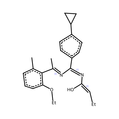 CC/C=C(O)/N=C(\N=C(/C)c1c(C)cccc1OCC)c1ccc(C2CC2)cc1